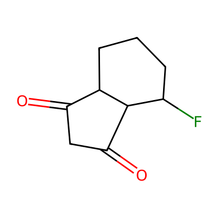 O=C1CC(=O)C2C(F)CCCC12